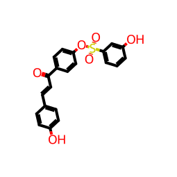 O=C(C=Cc1ccc(O)cc1)c1ccc(OS(=O)(=O)c2cccc(O)c2)cc1